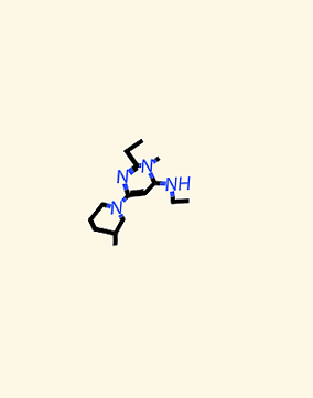 CCNC1C=C(N2CCCC(C)C2)N=C(CC)N1C